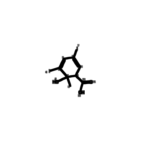 CC1(O)C(I)=CC(I)=CC1C(=O)O